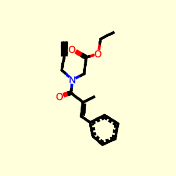 C#CCN(CC(=O)OCC)C(=O)/C(C)=C/c1ccccc1